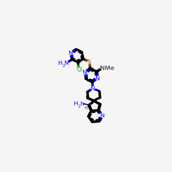 CNc1nc(N2CCC3(CC2)Cc2ncccc2[C@H]3N)cnc1Sc1ccnc(N)c1Cl